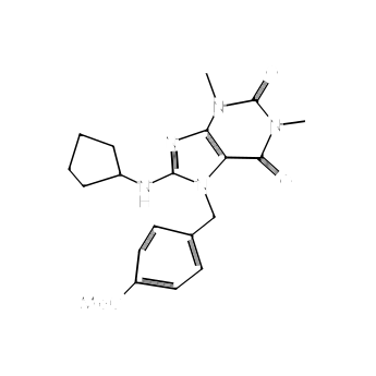 COc1ccc(Cn2c(NC3CCCC3)nc3c2c(=O)n(C)c(=O)n3C)cc1